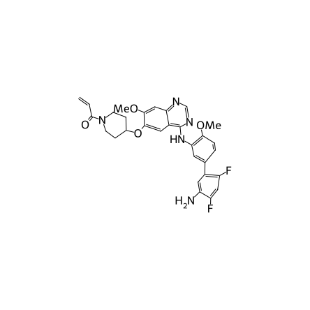 C=CC(=O)N1CCC(Oc2cc3c(Nc4cc(-c5cc(N)c(F)cc5F)ccc4OC)ncnc3cc2OC)CC1